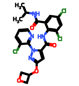 CC(C)NC(=O)c1cc(Cl)cc(Cl)c1NC(=O)c1cc(OC2COC2)nn1-c1ncccc1Cl